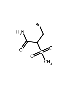 CS(=O)(=O)C(CBr)C(N)=O